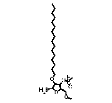 BC1OC(COC)C(O[PH](C)=O)C1OCCCCCCCCCCCCCCCC